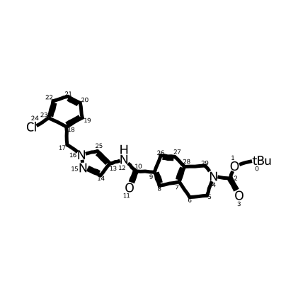 CC(C)(C)OC(=O)N1CCc2cc(C(=O)Nc3cnn(Cc4ccccc4Cl)c3)ccc2C1